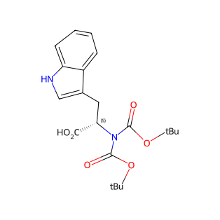 CC(C)(C)OC(=O)N(C(=O)OC(C)(C)C)[C@@H](Cc1c[nH]c2ccccc12)C(=O)O